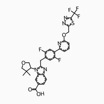 CC1(C)COCC1n1c(Cc2cc(F)c(-c3cccc(OCc4nnc(C(F)(F)F)s4)n3)cc2F)nc2ccc(C(=O)O)cc21